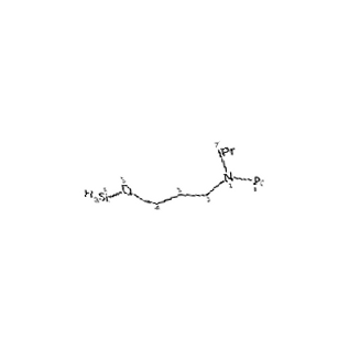 CC(C)N(CCCO[SiH3])C(C)C